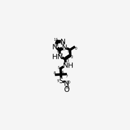 CC1C=C(NCC(C)(C)SN=O)Nc2ncnn21